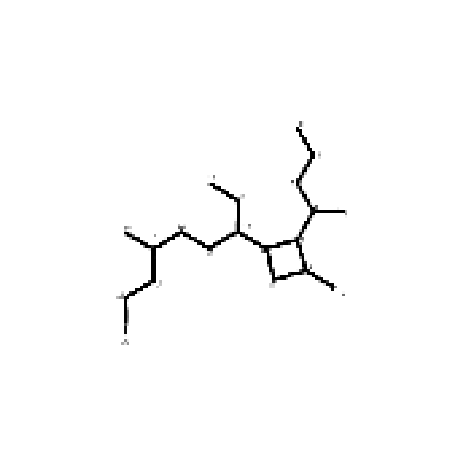 CCCC(C)C1C(F)CC1C(CC)CCC(C)CCI